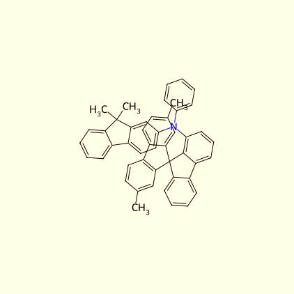 Cc1ccc2c(c1)C1(c3cc(C)ccc3-2)c2ccccc2-c2cccc(N(c3ccccc3)c3ccc4c(c3)C(C)(C)c3ccccc3-4)c21